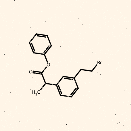 CC(C(=O)Oc1ccccc1)c1cccc(CCBr)c1